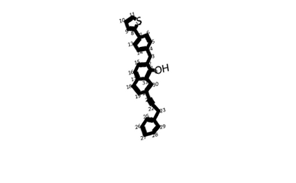 Oc1c(Cc2ccc(-c3cccs3)cc2)ccc2ccc(C#CCc3ccccc3)cc12